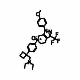 CCN(CC)CC1(c2ccc([N+]3([O-])CCc4c(C(F)(F)F)nn(-c5ccc(OC)cc5)c4C3)cc2)CCC1